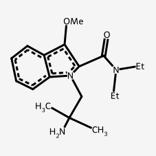 CCN(CC)C(=O)c1c(OC)c2ccccc2n1CC(C)(C)N